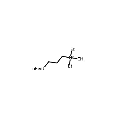 CCCCCCCC[N+](C)(CC)CC